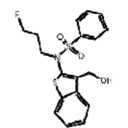 O=S(=O)(c1ccccc1)N(CCCF)c1sc2ccccc2c1CO